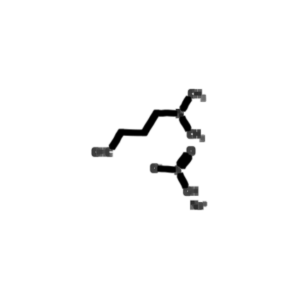 CN(C)CCCC=O.O=S([O-])O.[Na+]